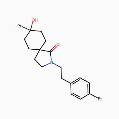 CCc1ccc(CCN2CCC3(CCC(O)(C(C)C)CC3)C2=O)cc1